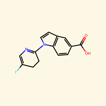 O=C(O)c1ccc2c(ccn2C2=NC=C(F)CC2)c1